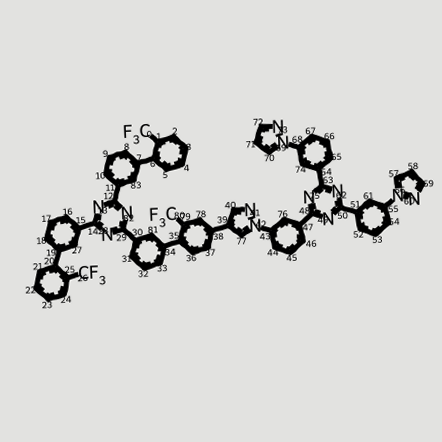 FC(F)(F)c1ccccc1-c1cccc(-c2nc(-c3cccc(-c4ccccc4C(F)(F)F)c3)nc(-c3cccc(-c4ccc(-c5cnn(-c6cccc(-c7nc(-c8cccc(-n9cccn9)c8)nc(-c8cccc(-n9cccn9)c8)n7)c6)c5)cc4C(F)(F)F)c3)n2)c1